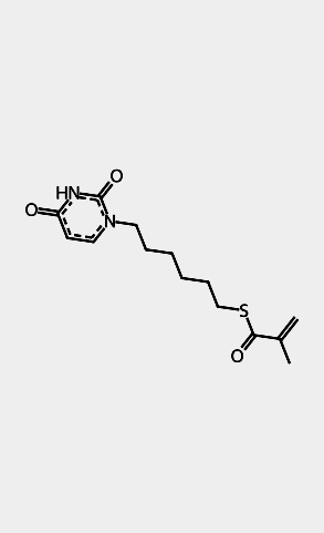 C=C(C)C(=O)SCCCCCCn1ccc(=O)[nH]c1=O